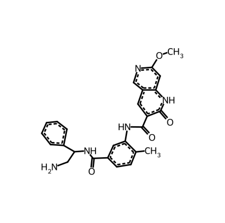 COc1cc2[nH]c(=O)c(C(=O)Nc3cc(C(=O)NC(CN)c4ccccc4)ccc3C)cc2cn1